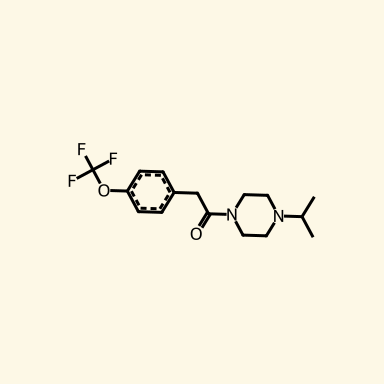 CC(C)N1CCN(C(=O)Cc2ccc(OC(F)(F)F)cc2)CC1